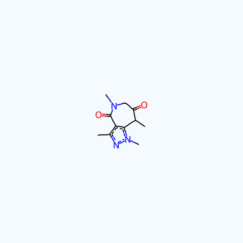 Cc1nn(C)c2c1C(=O)N(C)CC(=O)C2C